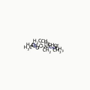 C=C(C)/C=C(\C=C/C)Oc1cc(C(=C)C)cc(C(=C)NC/C(C)=C/C=C(\C)C(C)(C)F)c1